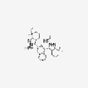 CCC1(C)CCCc2c1nn(PI)c2-c1cc2ccccc2c(-c2c3c(nn2PI)C(C)(C)CCC3)n1